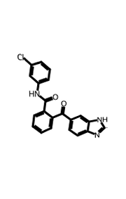 O=C(Nc1cccc(Cl)c1)c1ccccc1C(=O)c1ccc2n[c][nH]c2c1